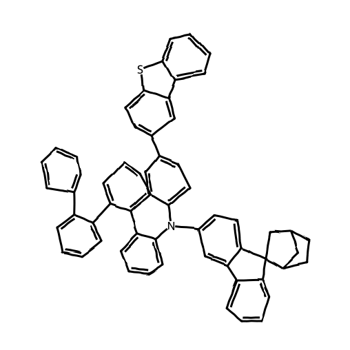 c1ccc(-c2ccccc2-c2ccccc2-c2ccccc2N(c2ccc(-c3ccc4sc5ccccc5c4c3)cc2)c2ccc3c(c2)-c2ccccc2C32CC3CCC2C3)cc1